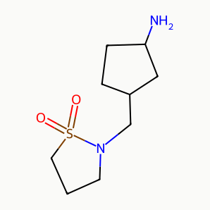 NC1CCC(CN2CCCS2(=O)=O)C1